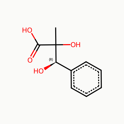 CC(O)(C(=O)O)[C@H](O)c1ccccc1